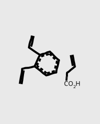 C=CCC(=O)O.C=Cc1ccccc1C=C